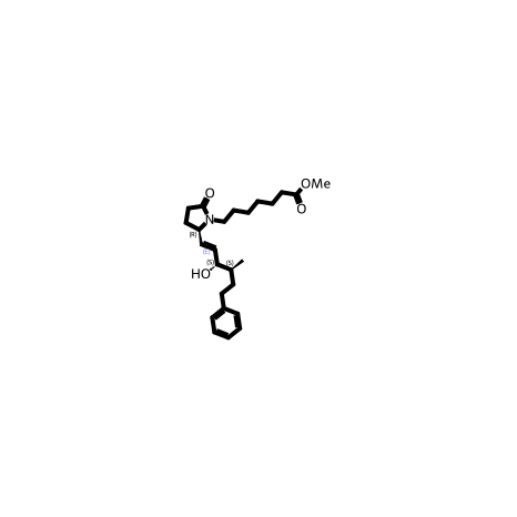 COC(=O)CCCCCCN1C(=O)CC[C@@H]1/C=C/[C@@H](O)[C@@H](C)CCc1ccccc1